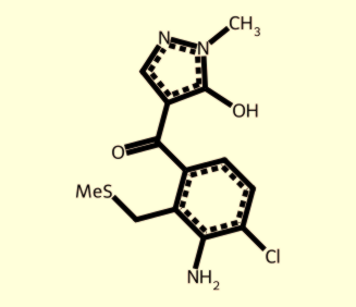 CSCc1c(C(=O)c2cnn(C)c2O)ccc(Cl)c1N